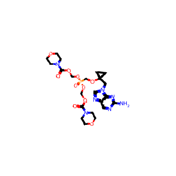 Nc1ncc2ncn(CC3(OCP(=O)(OCOC(=O)N4CCOCC4)OCOC(=O)N4CCOCC4)CC3)c2n1